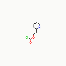 O=C(Cl)OCCc1ccccn1